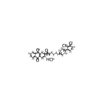 Cl.O=C(NCCCCN1CCN(c2cccc(Cl)c2Cl)CC1)c1ccc2c(c1)C(=O)c1ccccc1C2=O